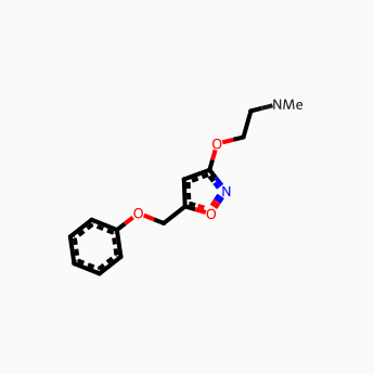 CNCCOc1cc(COc2ccccc2)on1